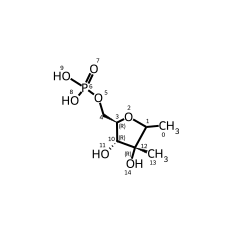 CC1O[C@H](COP(=O)(O)O)[C@@H](O)[C@@]1(C)O